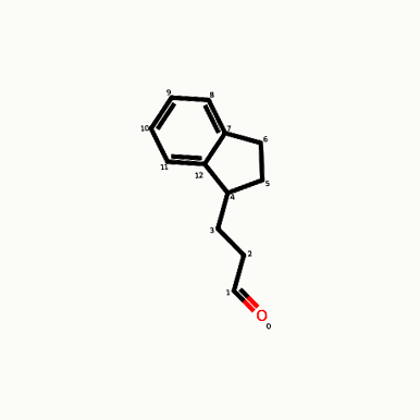 O=CCCC1CCc2ccccc21